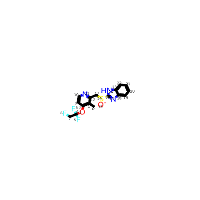 Cc1c(OC(F)(F)CF)ccnc1C[S+]([O-])c1nc2ccccc2[nH]1